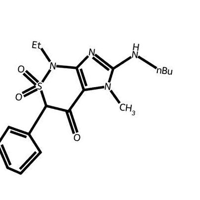 CCCCNc1nc2c(n1C)C(=O)C(c1ccccc1)S(=O)(=O)N2CC